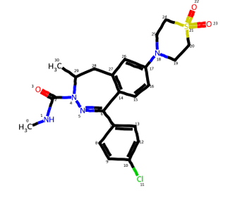 CNC(=O)N1N=C(c2ccc(Cl)cc2)c2ccc(N3CCS(=O)(=O)CC3)cc2CC1C